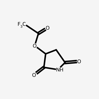 O=C1CC(OC(=O)C(F)(F)F)C(=O)N1